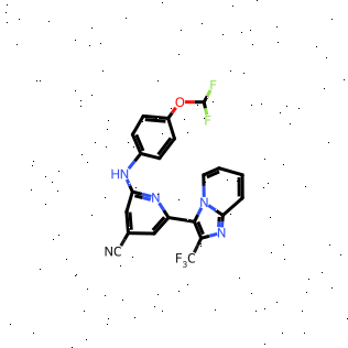 N#Cc1cc(Nc2ccc(OC(F)F)cc2)nc(-c2c(C(F)(F)F)nc3ccccn23)c1